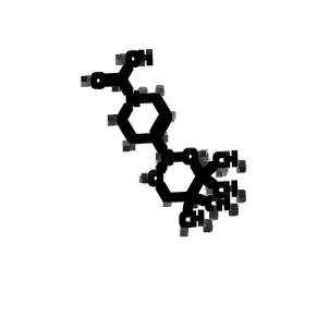 CC1(C)COB(C2=CCN(C(=O)O)CC2)OC1(C)C